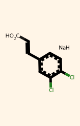 O=C(O)/C=C/c1ccc(Cl)c(Cl)c1.[NaH]